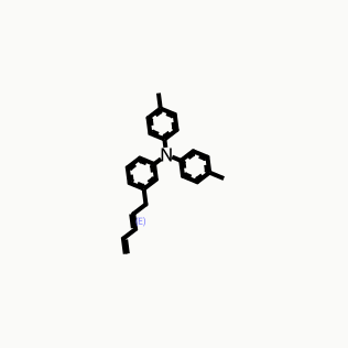 C=C/C=C/Cc1cccc(N(c2ccc(C)cc2)c2ccc(C)cc2)c1